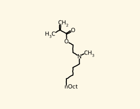 C=C(C)C(=O)OCCN(C)CCCCCCCCCCCC